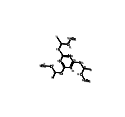 CCCCOC(C)Sc1nc(SC(C)OCCCC)nc(SC(C)OCCCC)n1